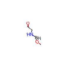 COBNCC=O